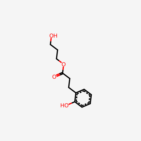 O=C(CCc1ccccc1O)OCCCO